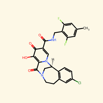 Cc1cc(F)c(CNC(=O)c2cn3c(c(O)c2=O)C(=O)N2CCc4cc(Cl)ccc4[C@H]3C2)c(F)c1